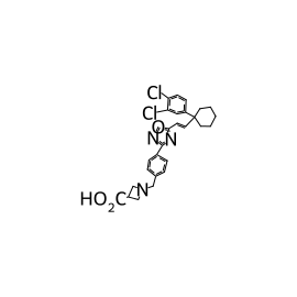 O=C(O)C1CN(Cc2ccc(-c3noc(C=CC4(c5ccc(Cl)c(Cl)c5)CCCCC4)n3)cc2)C1